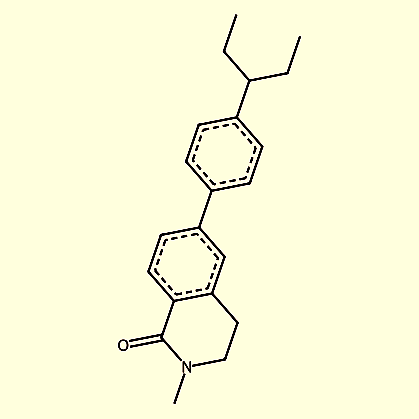 CCC(CC)c1ccc(-c2ccc3c(c2)CCN(C)C3=O)cc1